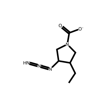 CCC1CN(C(=O)[O-])CC1N=[N+]=N